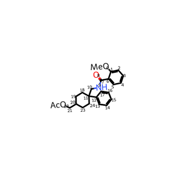 COc1ccccc1C(=O)NCC1(c2ccccc2)CCC(COC(C)=O)CC1